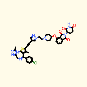 Cc1c(C#Cc2cnn(CCN3CCC(Oc4cccc5c4C(=O)N(C4CCC(=O)NC4=O)C5=O)CC3)c2)sc2c1C(c1ccc(Cl)cc1)=NCc1nnc(C)n1-2